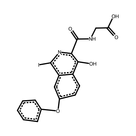 O=C(O)CNC(=O)c1nc(I)c2cc(Oc3ccccc3)ccc2c1O